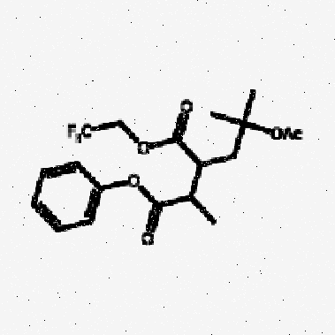 CC(=O)OC(C)(C)CC(C(=O)OCC(F)(F)F)C(C)C(=O)Oc1ccccc1